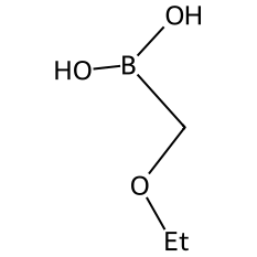 CCOCB(O)O